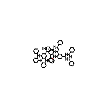 CC(C)(C)c1ccc2c(c1)c1ccccc1n2-c1ccc(-c2nc(-c3ccccc3)nc(-c3ccccc3)n2)cc1-c1cc(-c2ccccc2)nc(-c2cccc(-c3cc4c5c(c3)N(c3ccccc3)c3ccccc3B5c3ccccc3N4c3ccccc3)c2)n1